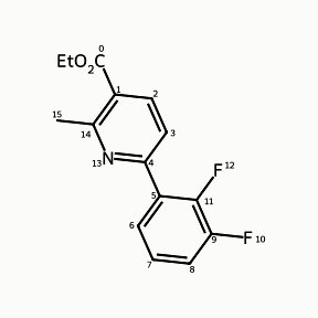 CCOC(=O)c1ccc(-c2cccc(F)c2F)nc1C